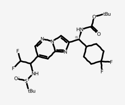 CC(C)(C)OC(=O)N[C@H](c1cn2ncc(C(N[S+]([O-])C(C)(C)C)C(F)F)cc2n1)C1CCC(F)(F)CC1